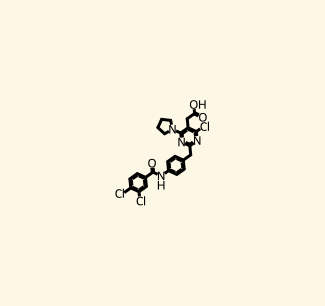 O=C(O)Cc1c(Cl)nc(Cc2ccc(NC(=O)c3ccc(Cl)c(Cl)c3)cc2)nc1N1CCCC1